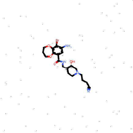 N#CCCCN1CC[C@@H](CNC(=O)c2cc(N)c(Br)c3c2OCCCO3)[C@H](O)C1